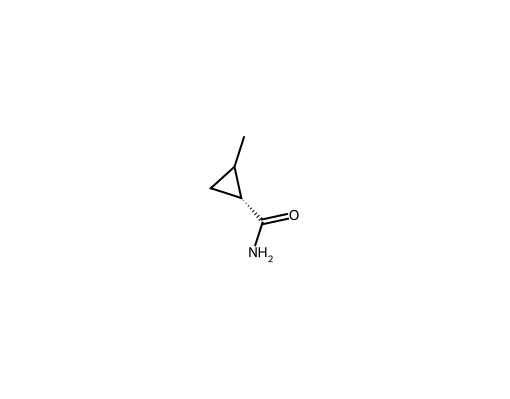 CC1C[C@H]1C(N)=O